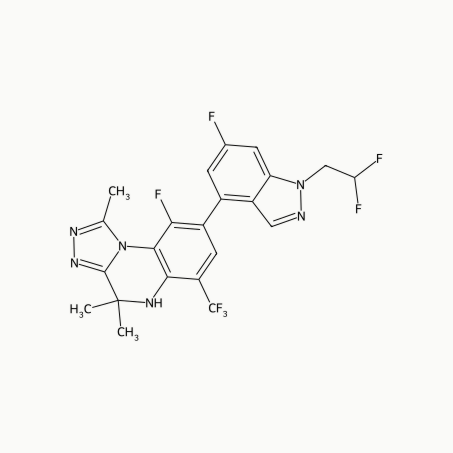 Cc1nnc2n1-c1c(F)c(-c3cc(F)cc4c3cnn4CC(F)F)cc(C(F)(F)F)c1NC2(C)C